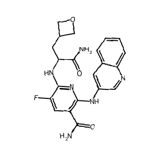 NC(=O)c1cc(F)c(NC(CC2COC2)C(N)=O)nc1Nc1cnc2ccccc2c1